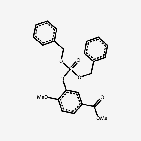 COC(=O)c1ccc(OC)c(OP(=O)(OCc2ccccc2)OCc2ccccc2)c1